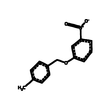 Cc1ccc(COc2cccc([N+](=O)[O-])c2)cc1